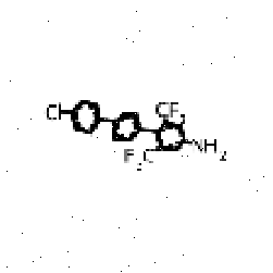 Nc1cc(C(F)(F)F)c(-c2ccc(-c3ccc(Cl)cc3)cc2)c(C(F)(F)F)c1